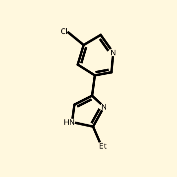 CCc1nc(-c2cncc(Cl)c2)c[nH]1